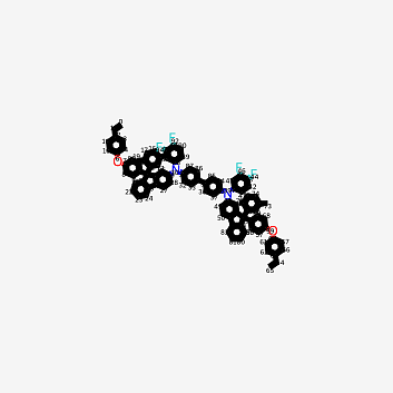 C=Cc1ccc(Oc2ccc(C3(c4cc(C)ccc4C)c4ccccc4-c4ccc(N(c5ccc(-c6ccc(N(c7ccc(F)c(F)c7)c7ccc8c(c7)C(c7ccc(Oc9ccc(C=C)cc9)cc7)(c7cc(C)ccc7C)c7ccccc7-8)cc6)cc5)c5ccc(F)c(F)c5)cc43)cc2)cc1